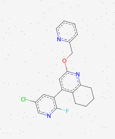 Fc1ncc(Cl)cc1-c1cc(OCc2ccccn2)nc2c1CCCC2